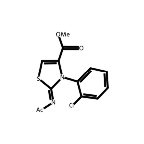 COC(=O)c1cs/c(=N\C(C)=O)n1-c1ccccc1Cl